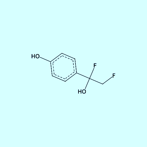 Oc1ccc(C(O)(F)CF)cc1